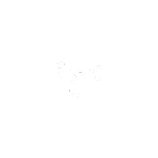 c1ccc(-c2ccc(-c3ccc(N(c4ccc(-c5cccc6c5oc5ccccc56)cc4)c4cccc(-c5cccc6oc7c8ccccc8ccc7c56)c4)cc3)cc2-c2ccccc2)cc1